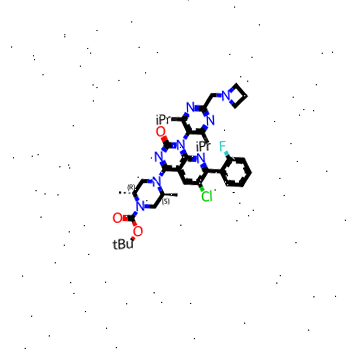 CC(C)c1nc(CN2CCC2)nc(C(C)C)c1-n1c(=O)nc(N2C[C@@H](C)N(C(=O)OC(C)(C)C)C[C@@H]2C)c2cc(Cl)c(-c3ccccc3F)nc21